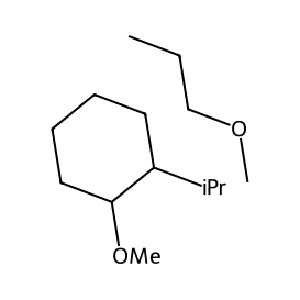 CCCOC.COC1CCCCC1C(C)C